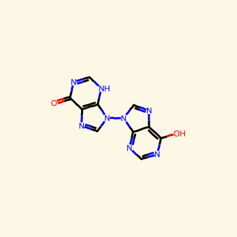 O=c1nc[nH]c2c1ncn2-n1cnc2c(O)ncnc21